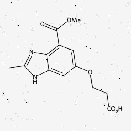 COC(=O)c1cc(OCCC(=O)O)cc2[nH]c(C)nc12